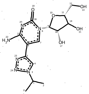 CC(C)n1cc(-c2cn([C@@H]3O[C@H](CO)C(O)[C@@H]3O)c(=O)nc2N)nn1